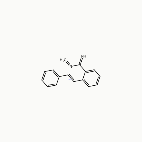 C=NC(=N)c1ccccc1/C=C/c1ccccc1